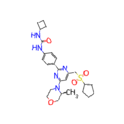 C[C@H]1COCCN1c1cc(CS(=O)(=O)C2CCCC2)nc(-c2ccc(NC(=O)NC3CCC3)cc2)n1